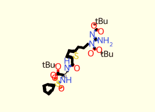 CC(C)(C)OC(=O)N=C(N)N(CCCc1ccc(C(=O)NC[C@H](NS(=O)(=O)c2ccccc2)C(=O)OC(C)(C)C)s1)C(=O)OC(C)(C)C